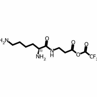 NCCCC[C@H](N)C(=O)NCCC(=O)OC(=O)C(F)(F)F